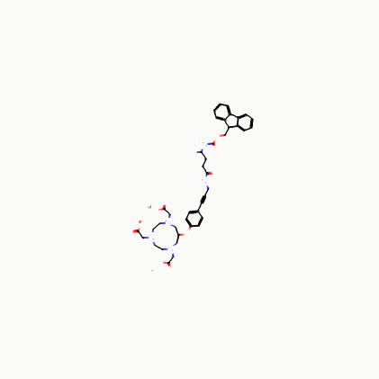 CC(C)(C)OC(=O)CN1CCN(CC(=O)OC(C)(C)C)CC(Oc2ccc(C#CCNC(=O)CCC(NC(=O)OCC3c4ccccc4-c4ccccc43)C(=O)O)cc2)CN(CC(=O)OC(C)(C)C)CC1